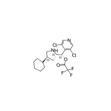 O=C(O[C@@H](c1c(Cl)cncc1Cl)[C@@H]1C[C@@H](C2CCCCC2)CN1)C(F)(F)F